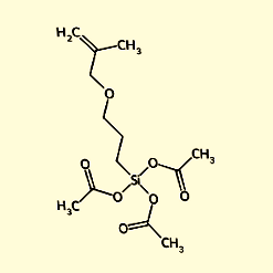 C=C(C)COCCC[Si](OC(C)=O)(OC(C)=O)OC(C)=O